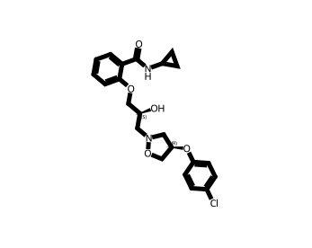 O=C(NC1CC1)c1ccccc1OC[C@@H](O)CN1C[C@@H](Oc2ccc(Cl)cc2)CO1